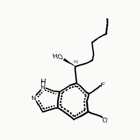 CCCC[C@H](O)c1c(F)c(Cl)cc2cn[nH]c12